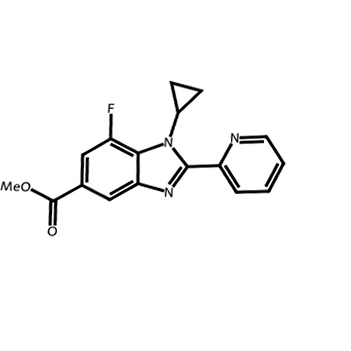 COC(=O)c1cc(F)c2c(c1)nc(-c1ccccn1)n2C1CC1